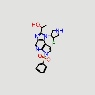 CC(O)c1nc2cnc3c(ccn3S(=O)(=O)c3ccccc3)c2n1[C@@H]1CNCC1F